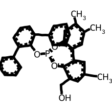 Cc1cc(CO)c2op(Oc3c(-c4ccccc4)cccc3-c3ccccc3)oc3cc(C)c(C)cc3c2c1